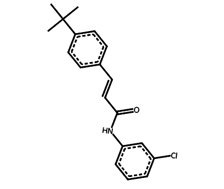 CC(C)(C)c1ccc(/C=C/C(=O)Nc2cccc(Cl)c2)cc1